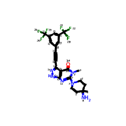 Cn1c(N2CCC(C)(N)CC2)nc2[nH]nc(C#Cc3cc(C(F)(F)F)cc(C(F)(F)F)c3)c2c1=O